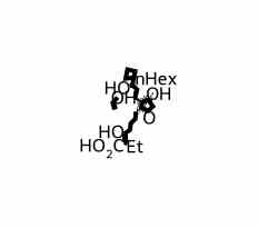 C=CO.CCCCCCC1(C(O)CC[C@H]2[C@H](O)CC(=O)[C@@H]2CCCCC(O)=C(CC)C(=O)O)CCC1